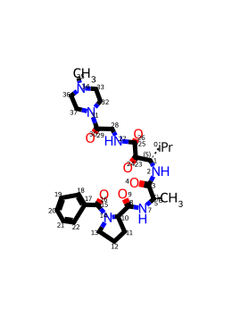 CC(C)[C@H](NC(=O)[C@H](C)NC(=O)C1CCCN1C(=O)c1ccccc1)C(=O)C(=O)NCC(=O)N1CCN(C)CC1